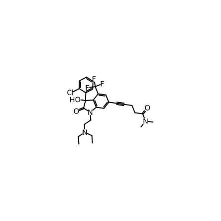 CCN(CC)CCN1C(=O)C(O)(c2ccccc2Cl)c2c1cc(C#CCCC(=O)N(C)C)cc2C(F)(F)F